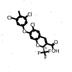 Cc1c(Cl)cc(Oc2cc3c(cc2Cl)C=C(C(=O)O)[C@@H](C(F)(F)F)O3)cc1Cl